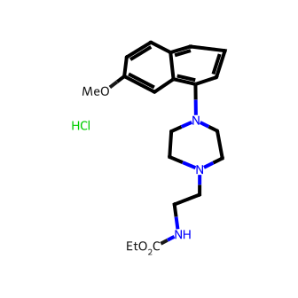 CCOC(=O)NCCN1CCN(c2cccc3ccc(OC)cc23)CC1.Cl